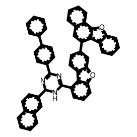 c1ccc(-c2ccc(C3=NC(c4ccc5ccccc5c4)NC(c4cccc5oc6cc(-c7cc8ccccc8c8oc9ccccc9c78)ccc6c45)=N3)cc2)cc1